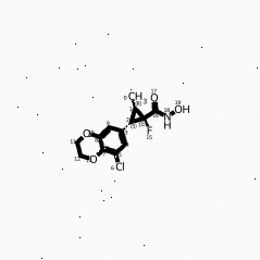 C[C@@H]1[C@@H](c2cc(Cl)c3c(c2)OCCO3)[C@@]1(F)C(=O)NO